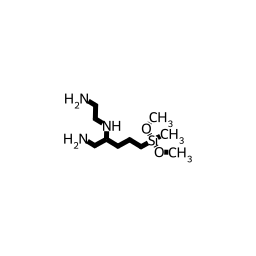 CO[Si](C)(CCCC(CN)NCCN)OC